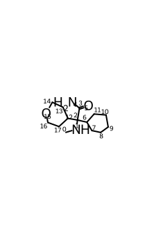 CNC(C(N)=O)(C1CCCCC1)C1CCOCC1